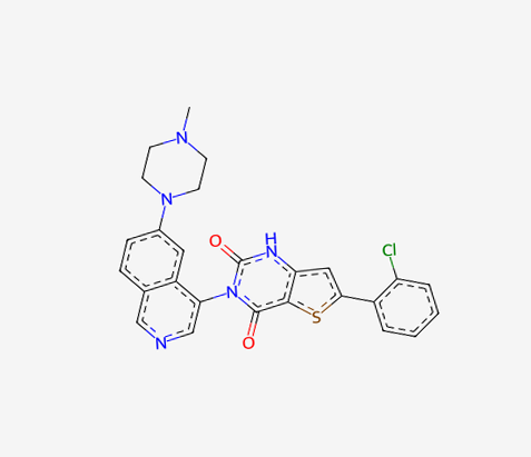 CN1CCN(c2ccc3cncc(-n4c(=O)[nH]c5cc(-c6ccccc6Cl)sc5c4=O)c3c2)CC1